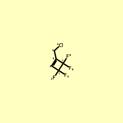 FC1(F)C=C(CCl)C1(F)F